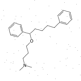 CN(C)CCCOC(CCCCc1ccccc1)c1ccccc1